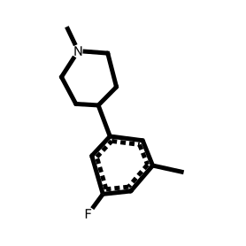 Cc1cc(F)cc(C2CCN(C)CC2)c1